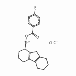 O=C([O][Ti+2][CH]1CCCC2=C1CC1=C2CCCC1)c1ccc(F)cc1.[Cl-].[Cl-]